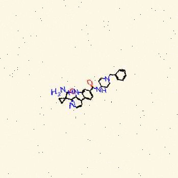 NC(=O)C1(c2nccc3c2[nH]c2cc(C(=O)NC4CCN(Cc5ccccc5)CC4)ccc23)CC1